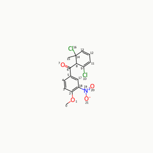 COc1ccc(C(=O)C2C(Cl)=CC=CC2(C)Cl)cc1[N+](=O)[O-]